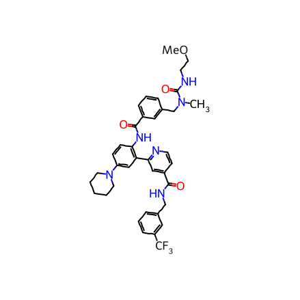 COCCNC(=O)N(C)Cc1cccc(C(=O)Nc2ccc(N3CCCCC3)cc2-c2cc(C(=O)NCc3cccc(C(F)(F)F)c3)ccn2)c1